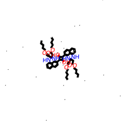 CCCCCOC#CC1(CC(=O)OCCCCC)Nc2cccc3ccc(C4C(O)C(c5ccc6cccc7c6c5NC(C#COCCCCC)(CC(=O)OCCCCC)N7)C4O)c(c23)N1